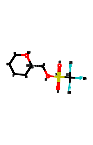 O=S(=O)(OC[C@@H]1CCCCO1)C(F)(F)F